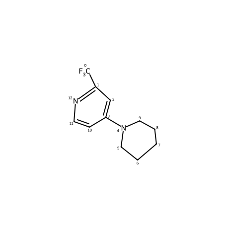 FC(F)(F)c1cc(N2CCCCC2)ccn1